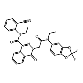 CCN(C(=O)Cn1nc(C(=O)N(CC)c2ccccc2C#N)c2ccccc2c1=O)c1ccc2c(c1)OC(F)(F)O2